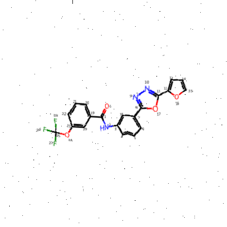 O=C(Nc1cccc(-c2nnc(-c3ccco3)o2)c1)c1cccc(OC(F)(F)F)c1